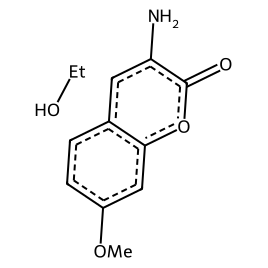 CCO.COc1ccc2cc(N)c(=O)oc2c1